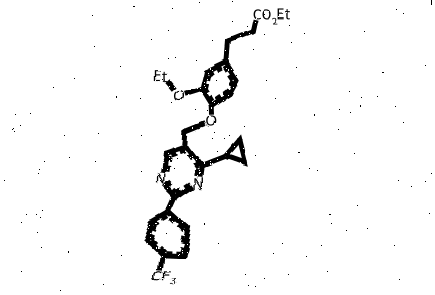 CCOC(=O)CCc1ccc(OCc2cnc(-c3ccc(C(F)(F)F)cc3)nc2C2CC2)c(OCC)c1